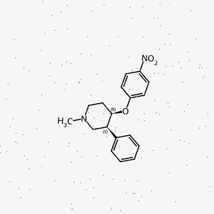 CN1CC[C@@H](Oc2ccc([N+](=O)[O-])cc2)[C@@H](c2ccccc2)C1